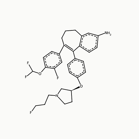 Nc1ccc2c(c1)CCCC(c1ccc(OC(F)F)c(F)c1)=C2c1ccc(O[C@H]2CCN(CCCF)C2)cc1